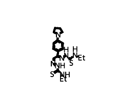 CCNC(=S)N/N=C\C(=N\NC(=S)NCC)c1ccc(N2CCCC2)cc1